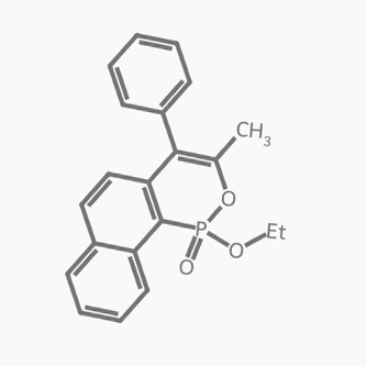 CCOP1(=O)OC(C)=C(c2ccccc2)c2ccc3ccccc3c21